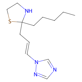 CCCCCC1(CC=Cn2cncn2)NCCS1